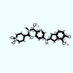 CN(C(=O)C1CCS(=O)(=O)CC1)[C@@H](c1ccc(NC2Cc3ccc(Cl)c(C(F)(F)F)c3C2)cn1)C(F)(F)F